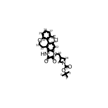 CC(C)(C)OC(=O)N1CC(Cn2c(=O)c(=O)[nH]c3c4c(c(Cl)cc32)-c2c(F)cccc2OCC4)C1